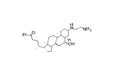 CCC(=O)CC[C@@H](C)[C@H]1CCC2C3C[C@H](O)[C@@H]4CC(NCCN)CC[C@]4(C)C3CC[C@@]21C